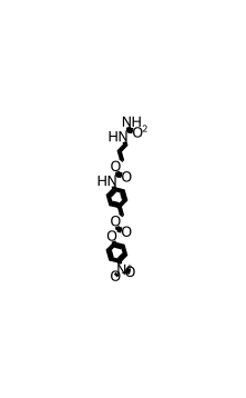 NC(=O)NCCCOC(=O)Nc1ccc(COC(=O)Oc2ccc([N+](=O)[O-])cc2)cc1